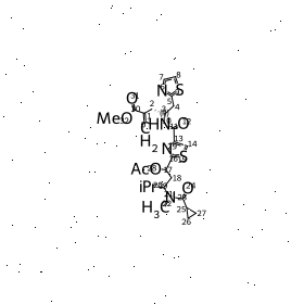 C=C(C[C@H](Cc1nccs1)NC(=O)c1csc(C(CC(C(C)C)N(C)C(=O)C2CC2)OC(C)=O)n1)C(=O)OC